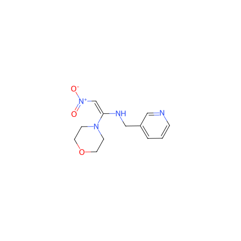 O=[N+]([O-])/C=C(/NCc1cccnc1)N1CCOCC1